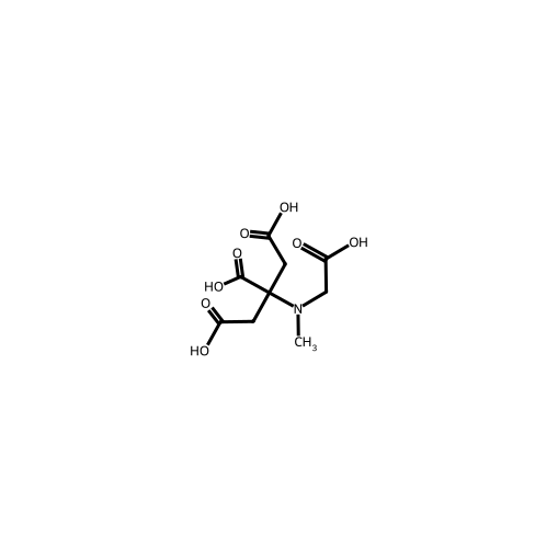 CN(CC(=O)O)C(CC(=O)O)(CC(=O)O)C(=O)O